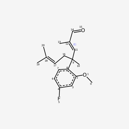 COc1cc(F)ccc1C(C)(/C=C(\C)C=O)CC=C(C)C